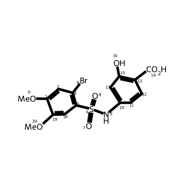 COc1cc(Br)c(S(=O)(=O)Nc2ccc(C(=O)O)c(O)c2)cc1OC